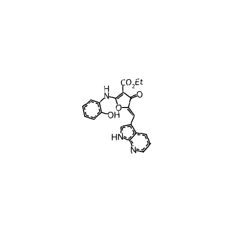 CCOC(=O)C1=C(Nc2ccccc2O)OC(=Cc2c[nH]c3ncccc23)C1=O